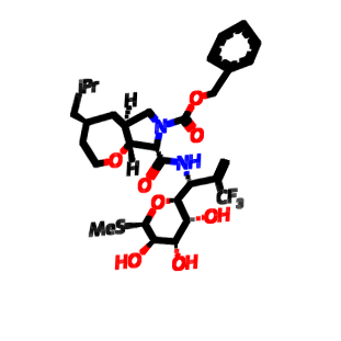 C=C([C@@H](NC(=O)[C@@H]1[C@@H]2OCC[C@@H](CC(C)C)C[C@H]2CN1C(=O)OCc1ccccc1)[C@H]1O[C@H](SC)[C@H](O)[C@@H](O)[C@H]1O)C(F)(F)F